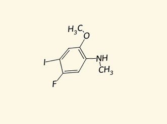 CNc1cc(F)c(I)cc1OC